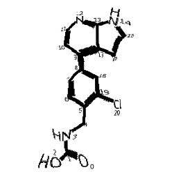 O=C(O)NCc1ccc(-c2ccnc3[nH]ccc23)cc1Cl